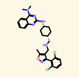 Cc1onc(-c2c(Cl)cccc2Cl)c1CNC[C@H]1CC[C@@H](Nc2nc(N(C)C)c3ccccc3n2)CC1